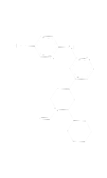 Cc1ccc(Nc2cc(C3CCN(C=O)C(C4CCCCC4)C3)ccn2)nc1